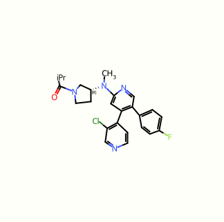 CC(C)C(=O)N1CC[C@@H](N(C)c2cc(-c3ccncc3Cl)c(-c3ccc(F)cc3)cn2)C1